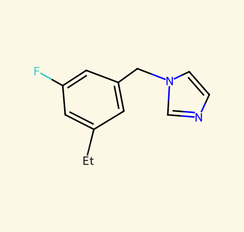 CCc1cc(F)cc(Cn2ccnc2)c1